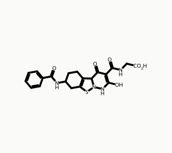 O=C(O)CNC(=O)C1=C(O)NN2SC3=C(CCC(NC(=O)c4ccccc4)C3)C2C1=O